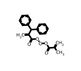 C=C(C)C(=O)OOOC(=O)C(=C)C(c1ccccc1)c1ccccc1